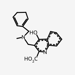 CN(CC1=CCCC=C1)Cc1c(C(=O)O)nc2ccccc2c1O